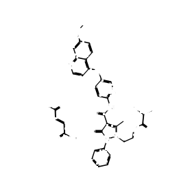 COc1ccc2c(Oc3ccc(NC(=O)c4c(C)n(C[C@@H](C)OC(=O)[C@H](C)N)n(-c5ccccc5)c4=O)nc3)ccnc2c1.O=C(O)C=CC(=O)O